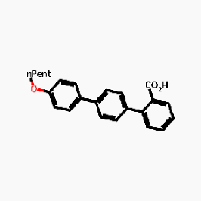 CCCCCOc1ccc(-c2ccc(-c3ccccc3C(=O)O)cc2)cc1